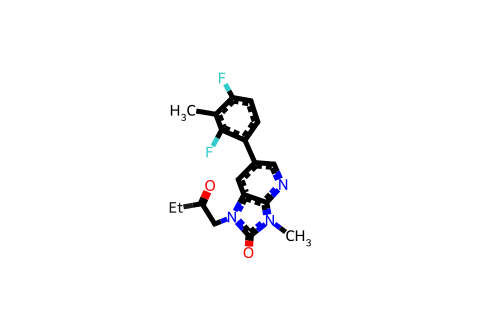 CCC(=O)Cn1c(=O)n(C)c2ncc(-c3ccc(F)c(C)c3F)cc21